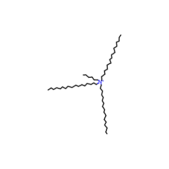 CCCCCCCCCCCCCCCCC[N+](CCCCCC)(CCCCCCCCCCCCCCCCC)CCCCCCCCCCCCCCCCC